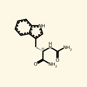 NC(=O)N[C@@H](Cc1c[nH]c2ccccc12)C(N)=O